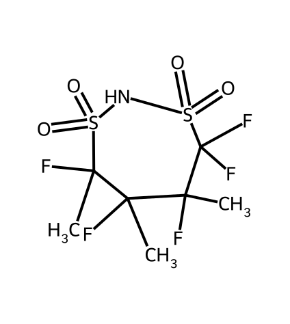 CC1(F)C(C)(F)C(F)(F)S(=O)(=O)NS(=O)(=O)C1(C)F